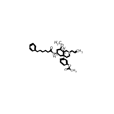 C=CCN1CC[C@@]2(c3cccc(OC(C)=O)c3)C[C@@H](NC(=O)CCCCCc3ccccc3)CC(OC)[C@@H]2C1